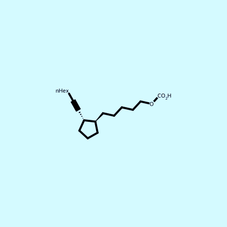 CCCCCCC#C[C@H]1CCC[C@@H]1CCCCCOC(=O)O